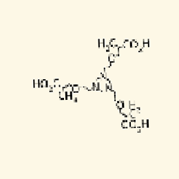 CC(=COCCN1CN(CCOC=C(C)C(=O)O)CN(CCOC=C(C)C(=O)O)C1)C(=O)O